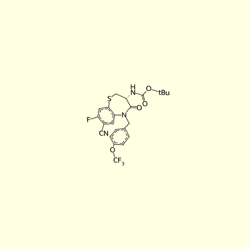 CC(C)(C)OC(=O)N[C@H]1CSc2cc(F)c(C#N)cc2N(Cc2ccc(OC(F)(F)F)cc2)C1=O